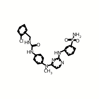 CN(c1ccc(NC(=O)NCc2ccccc2Cl)cc1)c1ccnc(Nc2cccc(S(N)(=O)=O)c2)n1